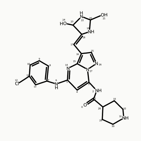 O=C(Nc1cc(Nc2cccc(Cl)c2)nc2c(/C=C3\NC(O)NC3O)cnn12)C1CCNCC1